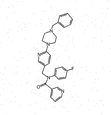 O=C(c1cccnc1)N(Cc1ccc(N2CCN(Cc3ccccc3)CC2)nc1)c1ccc(F)cc1